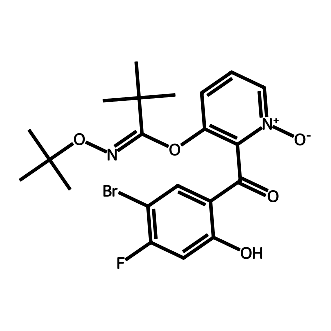 CC(C)(C)ON=C(Oc1ccc[n+]([O-])c1C(=O)c1cc(Br)c(F)cc1O)C(C)(C)C